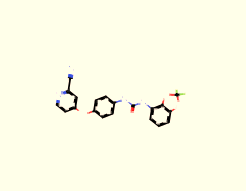 N#Cc1cc(Oc2ccc(NC(=O)Nc3cccc4c3OC(F)(F)O4)cc2)ccn1